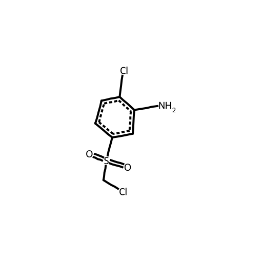 Nc1cc(S(=O)(=O)CCl)ccc1Cl